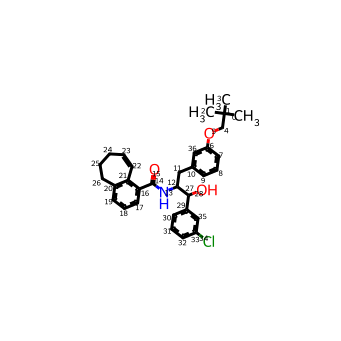 CC(C)(C)COc1cccc(CC(NC(=O)c2cccc3c2C=CCCC3)C(O)c2cccc(Cl)c2)c1